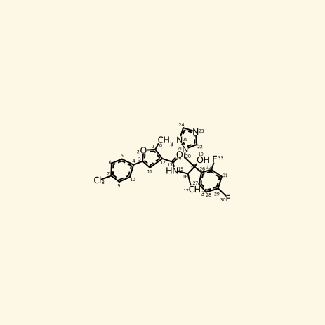 Cc1oc(-c2ccc(Cl)cc2)cc1C(=O)NC(C)C(O)(Cn1cncn1)c1ccc(F)cc1F